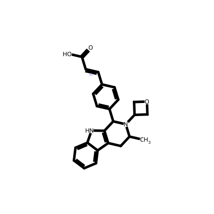 CC1Cc2c([nH]c3ccccc23)C(c2ccc(/C=C/C(=O)O)cc2)N1C1COC1